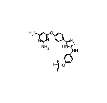 Nc1cc(Oc2ccc(-c3nnc(Nc4ccc(OC(F)(F)F)cc4)[nH]3)cc2)nc(N)n1